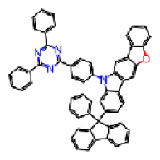 c1ccc(-c2nc(-c3ccccc3)nc(-c3ccc(-n4c5cc(C6(c7ccccc7)c7ccccc7-c7ccccc76)ccc5c5cc6oc7ccccc7c6cc54)cc3)n2)cc1